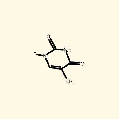 Cc1cn(F)c(=O)[nH]c1=O